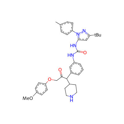 COc1ccc(OCC(=O)C(c2cccc(NC(=O)Nc3cc(C(C)(C)C)nn3-c3ccc(C)cc3)c2)C2CCNCC2)cc1